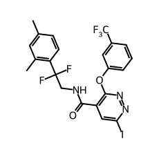 Cc1ccc(C(F)(F)CNC(=O)c2cc(I)nnc2Oc2cccc(C(F)(F)F)c2)c(C)c1